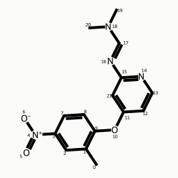 Cc1cc([N+](=O)[O-])ccc1Oc1ccnc(N=CN(C)C)c1